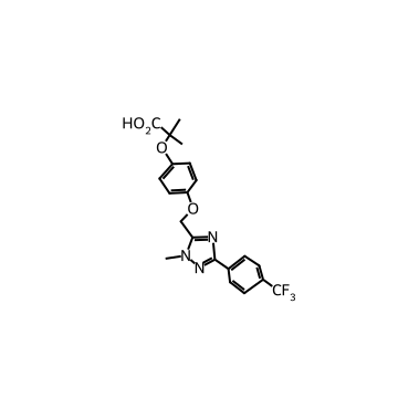 Cn1nc(-c2ccc(C(F)(F)F)cc2)nc1COc1ccc(OC(C)(C)C(=O)O)cc1